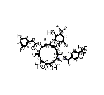 CC[C@H]1OC(=O)[C@H](C)[C@@H](OC(=O)Cc2cc(F)cc(F)c2)[C@H](C)[C@@H](OC2OC(C)CC(N(C)C)C2O)[C@](C)(OC)C[C@@H](C)/C(=N\N=C(/C)c2ccc(C(F)(F)F)cc2)[C@H](C)[C@@H](O)[C@]1(C)O